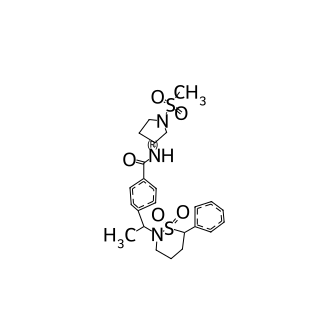 CC(c1ccc(C(=O)N[C@@H]2CCN(S(C)(=O)=O)C2)cc1)N1CCCC(c2ccccc2)S1(=O)=O